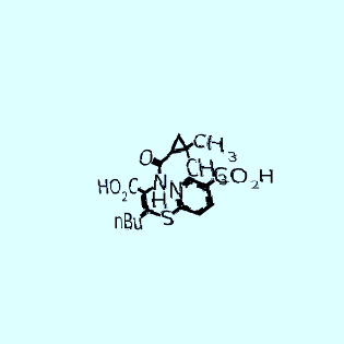 CCCCC(Sc1ccc(C(=O)O)cn1)=C(NC(=O)C1CC1(C)C)C(=O)O